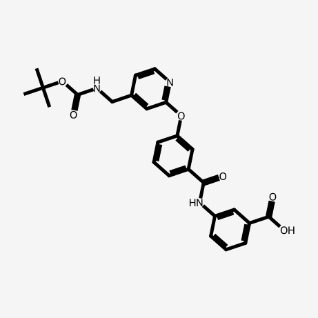 CC(C)(C)OC(=O)NCc1ccnc(Oc2cccc(C(=O)Nc3cccc(C(=O)O)c3)c2)c1